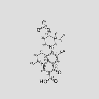 CCC1(C)CN(c2c(F)cc3c(=O)c(C(=O)O)cn4c3c2CCC4C)CC[C@@H]1OC(C)=O